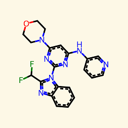 FC(F)c1nc2ccccc2n1-c1nc(Nc2cccnc2)cc(N2CCOCC2)n1